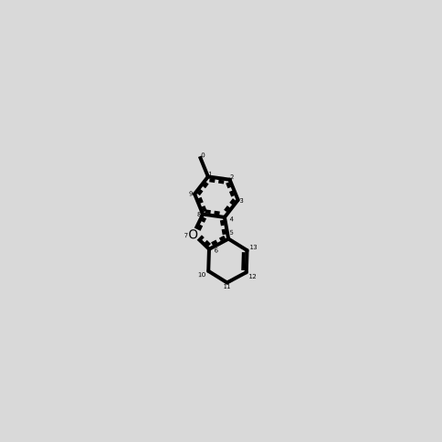 Cc1ccc2c3c(oc2c1)CCC=C3